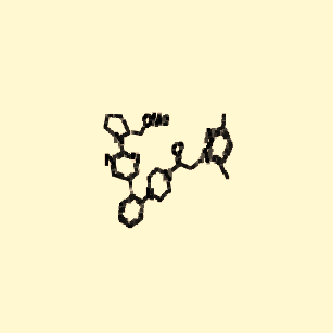 COCC1CCCN1c1ncc(-c2ccccc2N2CCN(C(=O)Cn3nc(C)cc3C)CC2)cn1